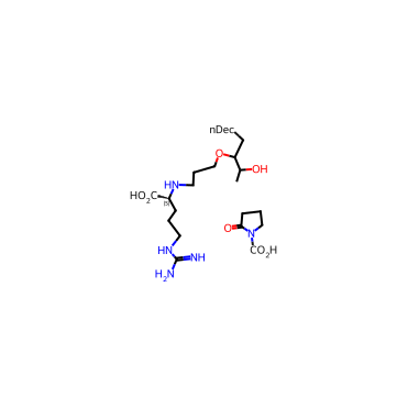 CCCCCCCCCCCC(OCCCN[C@@H](CCCNC(=N)N)C(=O)O)C(C)O.O=C(O)N1CCCC1=O